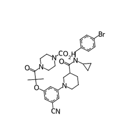 CC(C)(Oc1cc(C#N)cc(N2CCCC(C(=O)N(Cc3ccc(Br)cc3)C3CC3)C2)c1)C(=O)N1CCN(C(=O)O)CC1